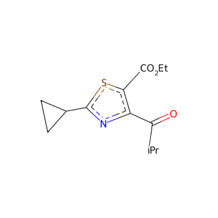 CCOC(=O)c1sc(C2CC2)nc1C(=O)C(C)C